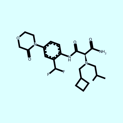 CC(C)CN(CC1CCC1)[C@H](C(N)=O)C(=O)Nc1ccc(N2CCOCC2=O)cc1C(F)F